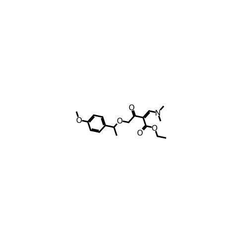 CCOC(=O)C(=CN(C)C)C(=O)COC(C)c1ccc(OC)cc1